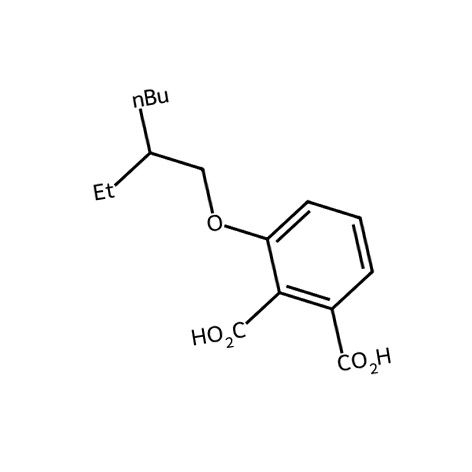 CCCCC(CC)COc1cccc(C(=O)O)c1C(=O)O